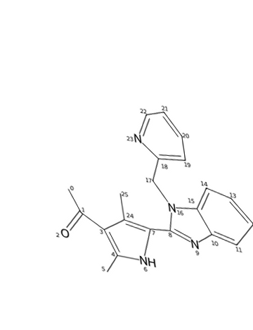 CC(=O)c1c(C)[nH]c(-c2nc3ccccc3n2Cc2ccccn2)c1C